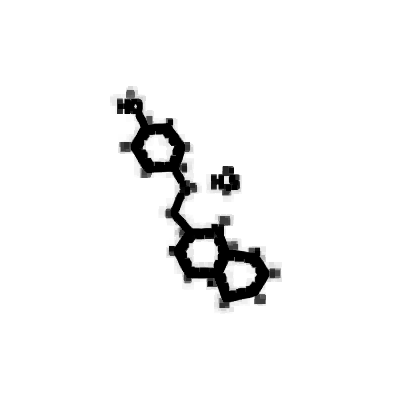 Oc1ccc(SCc2ccc3ccccc3n2)cc1.S